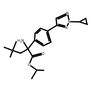 CC(C)OC(=O)C(N)(CC(C)(C)C)c1ccc(-c2cnn(C3CC3)n2)cc1